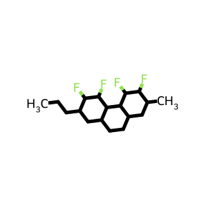 CCCC1CC2CCC3CC(C)C(F)C(F)C3C2C(F)C1F